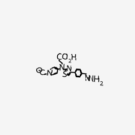 NN=Cc1ccc(-c2csc(N(CCC(=O)O)C3=CCN(C=C=O)C=C3)n2)cc1